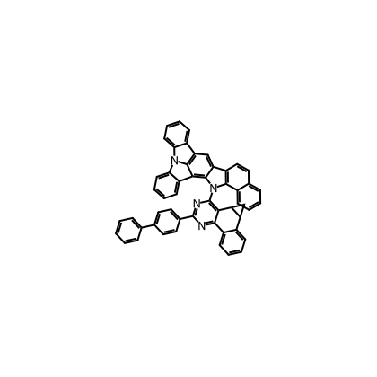 c1ccc(-c2ccc(-c3nc4c(c(-n5c6c7ccccc7ccc6c6cc7c8ccccc8n8c9ccccc9c(c65)c78)n3)C3CC3c3ccccc3-4)cc2)cc1